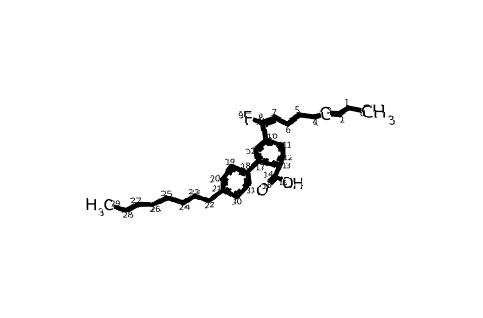 CCCCCCC/C=C(/F)c1ccc(C(=O)O)c(-c2ccc(CCCCCCCC)cc2)c1